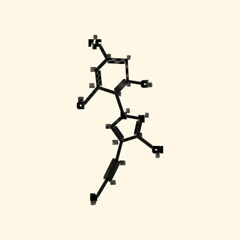 N#Cc1nn(-c2c(Cl)cc(C(F)(F)F)cc2Cl)cc1C#CBr